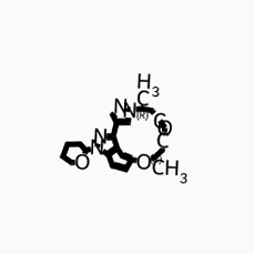 C[C@@H]1CCOCC[C@@H](C)n2cc(cn2)-c2nn(C3CCCCO3)c3ccc(cc23)O1